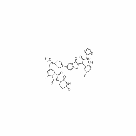 CN(Cc1cc(F)c2c(c1)C(=O)N(C1CCC(=O)NC1=O)C2=O)C1CCN(c2ccc3c(c2)C(=O)N(C(C(=O)Nc2nccs2)c2cc(F)ccc2O)C3)CC1